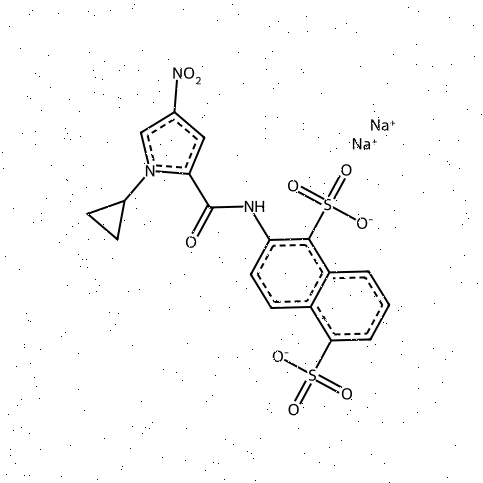 O=C(Nc1ccc2c(S(=O)(=O)[O-])cccc2c1S(=O)(=O)[O-])c1cc([N+](=O)[O-])cn1C1CC1.[Na+].[Na+]